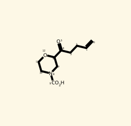 C=CCCC(=O)C1CN(C(=O)O)CCO1